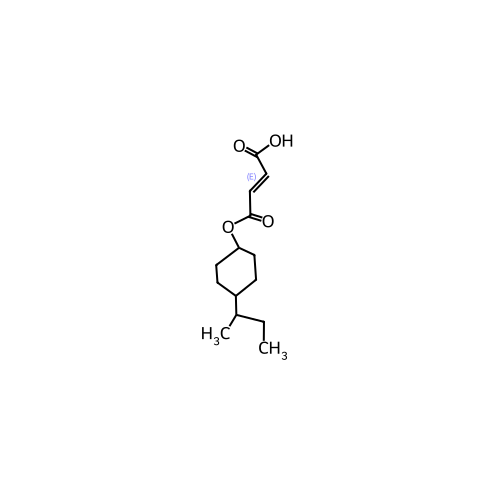 CCC(C)C1CCC(OC(=O)/C=C/C(=O)O)CC1